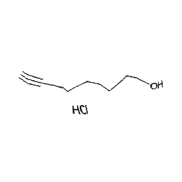 C#CCCCCO.Cl